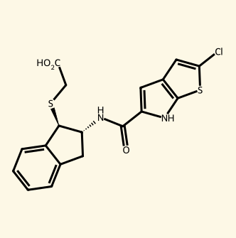 O=C(O)CS[C@@H]1c2ccccc2C[C@H]1NC(=O)c1cc2cc(Cl)sc2[nH]1